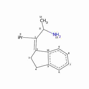 CC(C)C(=C1CCc2ccccc21)C(C)N